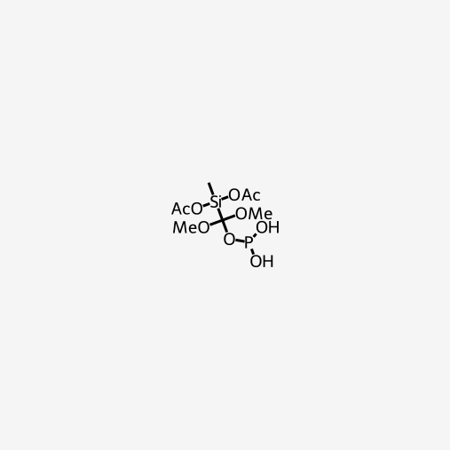 COC(OC)(OP(O)O)[Si](C)(OC(C)=O)OC(C)=O